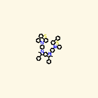 Cc1c(-c2ccccc2)c2cc3c(-c4ccccc4)c(C)n(-c4ccc(N(c5ccccc5)c5cccc6sc7ccccc7c56)cc4)c3cc2n1-c1ccc(N(c2ccccc2)c2cccc3c2sc2ccccc23)cc1